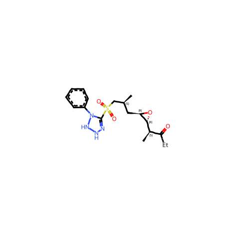 CCC(=O)[C@@H](C)[C@H]1O[C@@H]1C[C@H](C)CS(=O)(=O)C1=NNNN1c1ccccc1